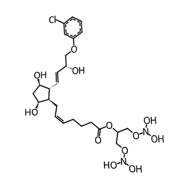 O=C(CCC/C=C\C[C@@H]1[C@@H](/C=C/[C@@H](O)COc2cccc(Cl)c2)[C@H](O)C[C@@H]1O)OC(CON(O)O)CON(O)O